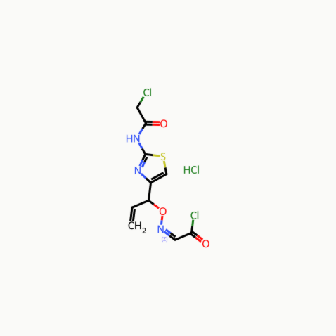 C=CC(O/N=C\C(=O)Cl)c1csc(NC(=O)CCl)n1.Cl